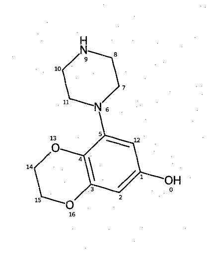 Oc1cc2c(c(N3CCNCC3)c1)OCCO2